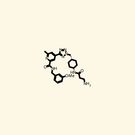 COc1cccc(CNC(=O)c2cc(-c3nnn(C[C@H]4CC[C@@H](NC(=O)CCN)CC4)n3)cc(C)n2)c1